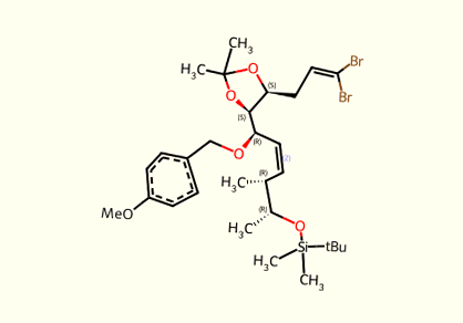 COc1ccc(CO[C@H](/C=C\[C@@H](C)[C@@H](C)O[Si](C)(C)C(C)(C)C)[C@H]2OC(C)(C)O[C@H]2CC=C(Br)Br)cc1